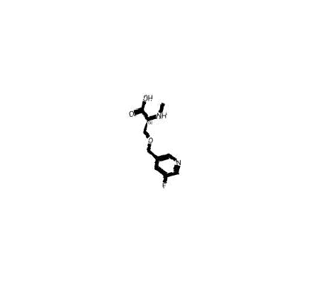 CN[C@@H](COCc1cncc(F)c1)C(=O)O